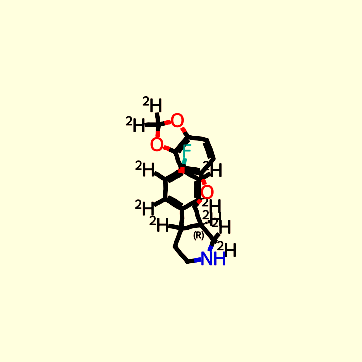 [2H]c1c([2H])c(C2([2H])CCNC([2H])([2H])[C@]2([2H])COc2ccc3c(c2)OC([2H])([2H])O3)c([2H])c([2H])c1F